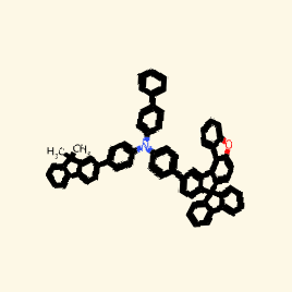 CC1(C)c2ccccc2-c2ccc(-c3ccc(N(c4ccc(-c5ccccc5)cc4)c4ccc(-c5ccc6c(c5)-c5c(ccc7oc8ccccc8c57)C65c6ccccc6-c6ccccc65)cc4)cc3)cc21